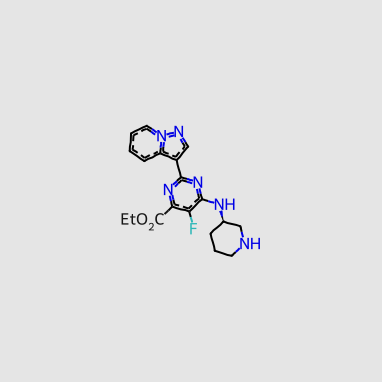 CCOC(=O)c1nc(-c2cnn3ccccc23)nc(N[C@@H]2CCCNC2)c1F